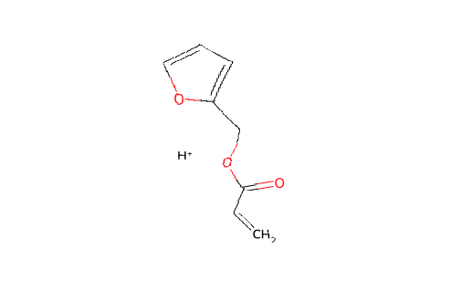 C=CC(=O)OCc1ccco1.[H+]